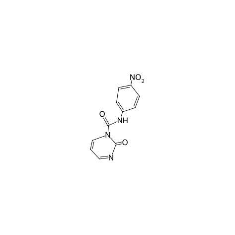 O=C(Nc1ccc([N+](=O)[O-])cc1)n1cccnc1=O